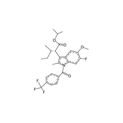 CCC(C)[C@H](C(=O)OC(C)C)c1c(C)n(C(=O)c2ccc(C(F)(F)F)cc2)c2cc(F)c(OC)cc12